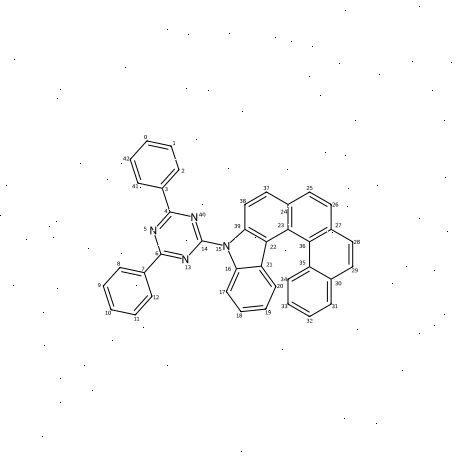 c1ccc(-c2nc(-c3ccccc3)nc(-n3c4ccccc4c4c5c(ccc6ccc7ccccc7c65)ccc43)n2)cc1